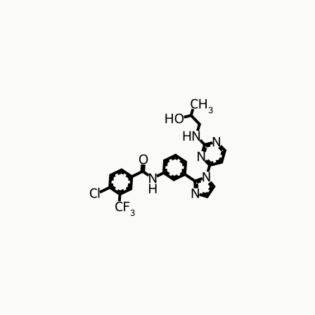 CC(O)CNc1nccc(-n2ccnc2-c2cccc(NC(=O)c3ccc(Cl)c(C(F)(F)F)c3)c2)n1